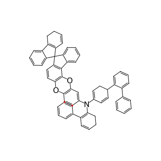 C1=CC2=C(CC1)c1ccccc1C21c2ccccc2-c2c1ccc1c2Oc2cc(N(C3=CCC(c4ccccc4-c4ccccc4)C=C3)C3=C(c4ccccc4)C=CCC3)ccc2O1